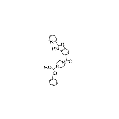 O=C(c1ccc2nc(-c3ccccn3)[nH]c2c1)N1CCN(C(O)OCc2ccccc2)CC1